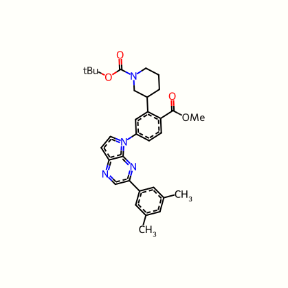 COC(=O)c1ccc(-n2ccc3ncc(-c4cc(C)cc(C)c4)nc32)cc1C1CCCN(C(=O)OC(C)(C)C)C1